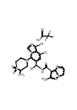 CCC(NC(=O)c1c(N)nn2cccnc12)c1cc(Cl)c2c(C#N)ncn2c1N1CCS(=O)(=O)C(C)C1.O=C(O)C(F)(F)F